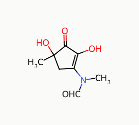 CN(C=O)C1=C(O)C(=O)C(C)(O)C1